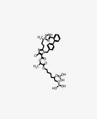 CCCCc1nc(Cl)c(C(=O)OC(C)C(=O)OCCCCC(CON(O)O)ON(O)O)n1Cc1ccc(-c2ccccc2-c2nnn[nH]2)cc1